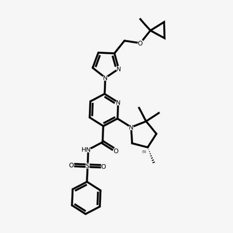 C[C@@H]1CN(c2nc(-n3ccc(COC4(C)CC4)n3)ccc2C(=O)NS(=O)(=O)c2ccccc2)C(C)(C)C1